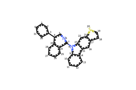 c1ccc(-c2cnc(-n3c4ccccc4c4cc5ccsc5cc43)c3ccccc23)cc1